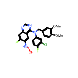 COc1ccc(CN(c2ccc(F)c(Cl)c2)c2ncnc3cc(F)c(NOO)cc23)cc1OC